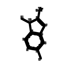 Cc1ccc2c(c1)C=[C]([Zr])C2C